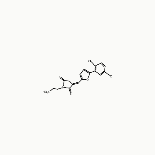 O=C(O)CCN1C(=O)C(=Cc2ccc(-c3cc(Cl)ccc3Cl)o2)SC1=S